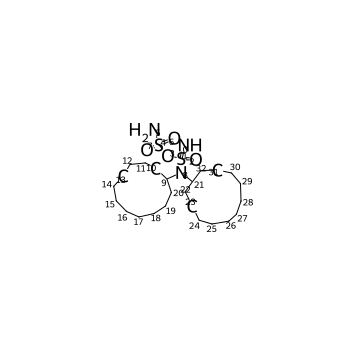 N=S(=O)(OS(N)(=O)=O)N(C1CCCCCCCCCCC1)C1CCCCCCCCCCC1